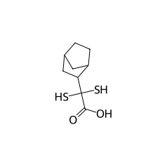 O=C(O)C(S)(S)C1CC2CCC1C2